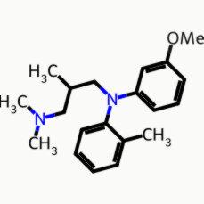 COc1cccc(N(CC(C)CN(C)C)c2ccccc2C)c1